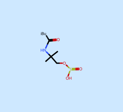 CCC(C)C(=O)NC(C)(C)COS(=O)O